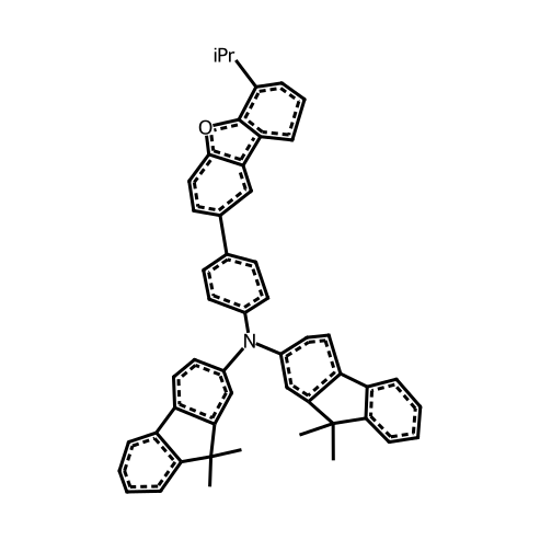 CC(C)c1cccc2c1oc1ccc(-c3ccc(N(c4ccc5c(c4)C(C)(C)c4ccccc4-5)c4ccc5c(c4)C(C)(C)c4ccccc4-5)cc3)cc12